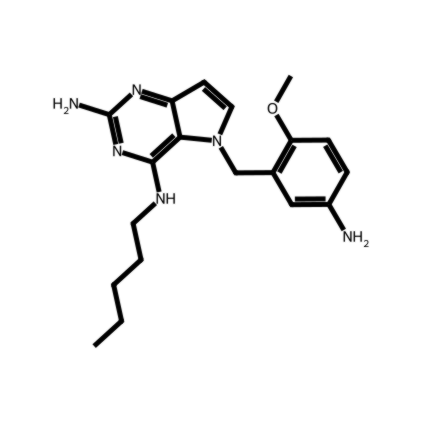 CCCCCNc1nc(N)nc2ccn(Cc3cc(N)ccc3OC)c12